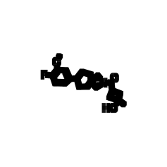 COc1cc(C2CCC3(CC2)CN(C(=O)C2CC(C)(O)C2)C3)ccc1F